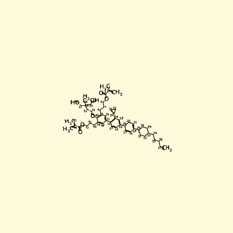 C=C(C)C(=O)OCCCc1cc(-c2ccc(C3C=CC(C4CCC(CCCCC)CC4)=CC3)cc2C2CC2)cc(CCCOC(=O)C(=C)C)c1OCCC(C)(CO)CO